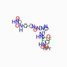 CCCS(=O)(=O)Nc1ccc(F)c(C(=O)c2c[nH]c3ncc(-c4cccnc4N4CCN(C(=O)CN5CCC(c6ccc(NC7CCC(=O)NC7=O)cc6)CC5)CC4)cc23)c1F